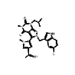 CC(=N)c1cc(-c2c3c(=O)n(C)c(=O)n(CC(C)C)c3nn2Cc2c[nH]c3ccc(Cl)cc23)n(C)c1